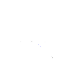 Cc1ccc(C[C@@H]2C[C@@H](c3ccccc3)CN2C(=O)OC(C)(C)C)cc1F